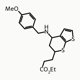 CCOC(=O)CCC1CC(NCc2ccc(OC)cc2)c2ccsc2S1